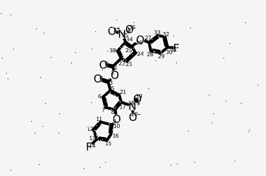 O=C(OC(=O)c1ccc(Oc2ccc(F)cc2)c([N+](=O)[O-])c1)c1ccc(Oc2ccc(F)cc2)c([N+](=O)[O-])c1